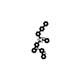 c1ccc(-c2ccc(-c3cccc(C4=NC(c5ccc6c7ccccc7n(-c7ccc8sc9ccccc9c8c7)c6c5)=NC(c5ccccc5)N4)c3)cc2)cc1